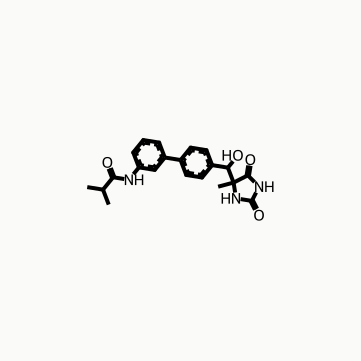 CC(C)C(=O)Nc1cccc(-c2ccc(C(O)C3(C)NC(=O)NC3=O)cc2)c1